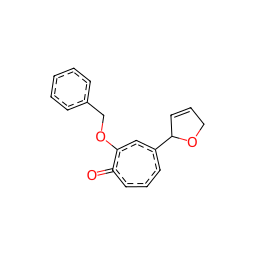 O=c1cccc(C2C=CCO2)cc1OCc1ccccc1